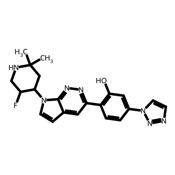 CC1(C)CC(n2ccc3cc(-c4ccc(-n5ccnn5)cc4O)nnc32)C(F)CN1